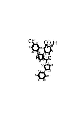 O=C(O)N1CCC[C@@H](c2c(C(=O)N3CC[C@H](c4ccccc4)C3)cnn2-c2ccc(Cl)cc2)C1